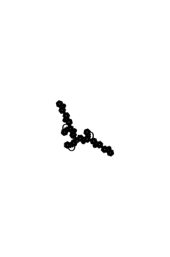 CC1(C)c2ccccc2-c2ccc(-c3ccc4c(c3)C(C)(C)c3cc(-c5cc6c(c7c5oc5ccccc57)-c5ccc(N(c7ccc8c(c7)C(C)(C)c7cc(-c9ccc%10c(c9)C(C)(C)c9cc(-c%11ccc%12c(c%11)C(C)(C)c%11ccccc%11-%12)ccc9-%10)c9oc%10ccccc%10c9c7-8)c7ccc8oc9ccccc9c8c7)cc5C6(C)C)ccc3-4)cc21